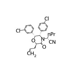 C=CC[C@H]1O[C@H](c2cccc(Cl)c2)[C@H](c2ccc(Cl)cc2)N([C@@H](C#N)CCC)C1=O